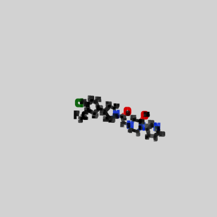 O=C(CN1CCN(c2cccnc2)C(=O)C1)N1CC=C(c2ccc(Cl)c(C(F)(F)F)c2)CC1